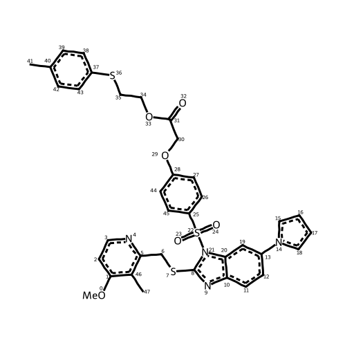 COc1ccnc(CSc2nc3ccc(-n4cccc4)cc3n2S(=O)(=O)c2ccc(OCC(=O)OCCSc3ccc(C)cc3)cc2)c1C